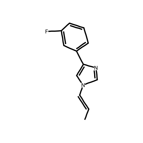 C/C=C/n1cnc(-c2cccc(F)c2)c1